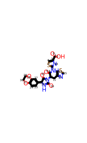 O=C(O)c1csc(NC(=O)C(Cc2cscn2)N2C(=O)NC(c3ccc4c(c3)OCCO4)C2=O)n1